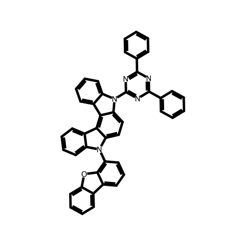 c1ccc(-c2nc(-c3ccccc3)nc(-n3c4ccccc4c4c5c6ccccc6n(-c6cccc7c6oc6ccccc67)c5ccc43)n2)cc1